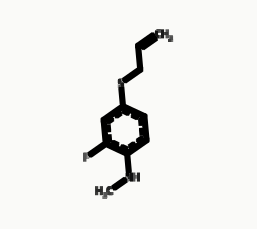 C=CCSc1ccc(NC)c(F)c1